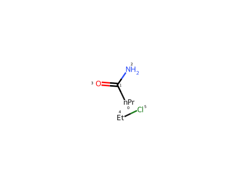 CCCC(N)=O.CCCl